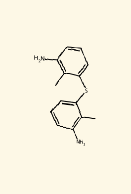 Cc1c(N)cccc1Sc1cccc(N)c1C